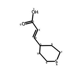 O=C(O)C=CC1CCSCC1